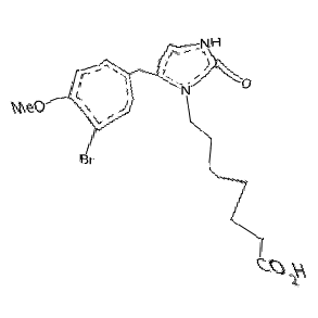 COc1ccc(-c2c[nH]c(=O)n2CCCCCCC(=O)O)cc1Br